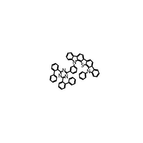 c1ccc(-c2ccccc2-c2nc(-c3cccc(-n4c5ccccc5c5ccc6c7ccc8c9ccccc9n(-c9ccccc9)c8c7sc6c54)c3)nc(-c3ccccc3-c3ccccc3)n2)cc1